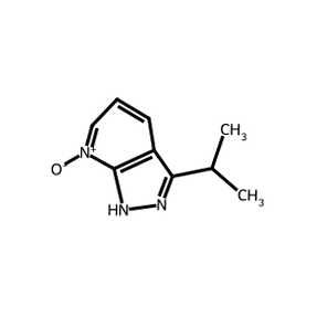 CC(C)c1n[nH]c2c1ccc[n+]2[O-]